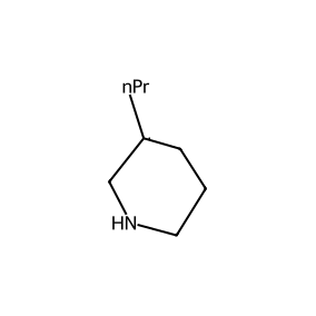 CCC[C]1CCCNC1